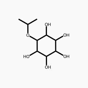 CC(C)OC1C(O)C(O)C(O)C(O)C1O